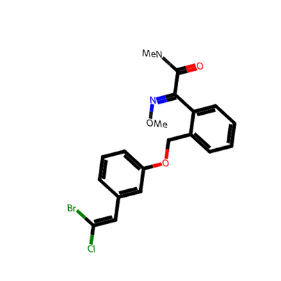 CNC(=O)/C(=N/OC)c1ccccc1COc1cccc(C=C(Cl)Br)c1